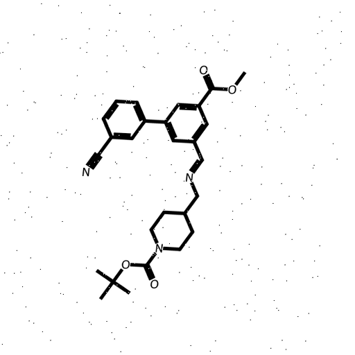 COC(=O)c1cc(C=NCC2CCN(C(=O)OC(C)(C)C)CC2)cc(-c2cccc(C#N)c2)c1